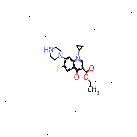 CCOC(=O)c1cn(C2CC2)c2cc(N3CCNCC3)c(F)cc2c1=O